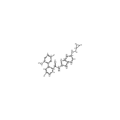 COc1cnc(C)cc1-c1cc(C)ncc1C(=O)Nc1nc2ncc(OCC3CC3)nc2s1